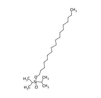 CCCCCCCCCCCCCCCCCCO[Si](Cl)(C(C)C)C(C)C